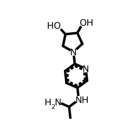 CC(N)Nc1ccc(N2CC(O)C(O)C2)nc1